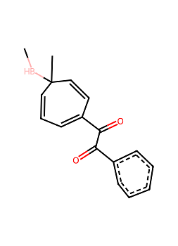 CBC1(C)C=CC=C(C(=O)C(=O)c2ccccc2)C=C1